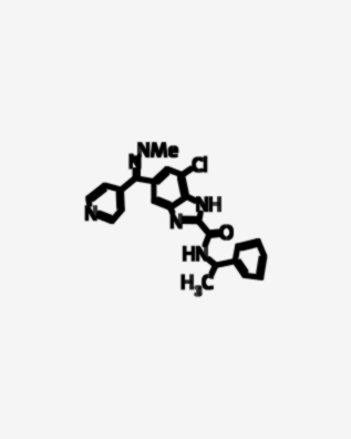 CN/N=C(/c1ccncc1)c1cc(Cl)c2[nH]c(C(=O)NC(C)c3ccccc3)nc2c1